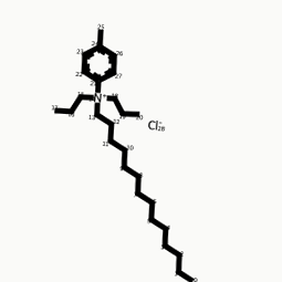 CCCCCCCCCCCCCC[N+](CCC)(CCC)c1ccc(C)cc1.[Cl-]